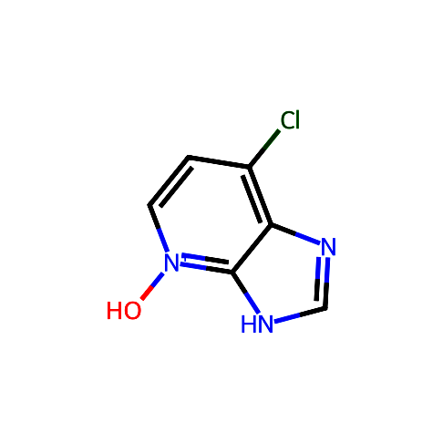 O[n+]1ccc(Cl)c2nc[nH]c21